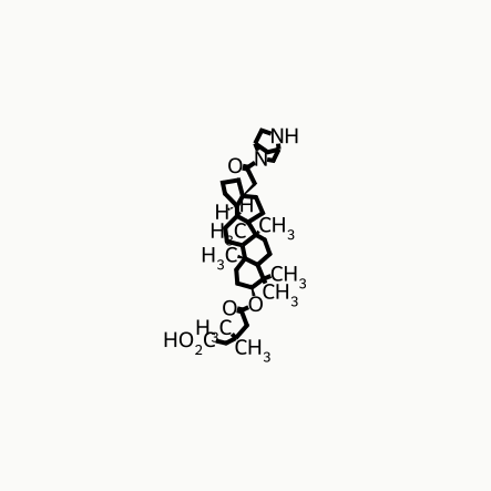 CC(C)(CC(=O)O)CC(=O)O[C@H]1CC[C@@]2(C)C(CC[C@]3(C)C2CC[C@@H]2[C@H]4CCC[C@]4(CC(=O)N4CC5CC4CN5)CC[C@]23C)C1(C)C